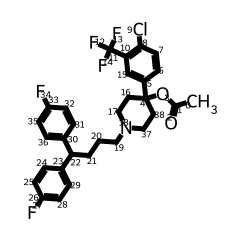 CC(=O)OC1(c2ccc(Cl)c(C(F)(F)F)c2)CCN(CCCC(c2ccc(F)cc2)c2ccc(F)cc2)CC1